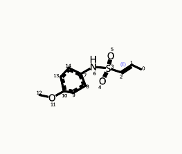 C/C=C/S(=O)(=O)Nc1ccc(OC)cc1